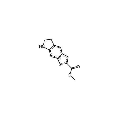 COC(=O)c1cc2cc3c(cc2s1)NCC3